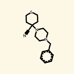 N#CC1(N2CCN(Cc3ccccc3)CC2)CCSCC1